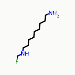 NCCCCCCCCCNCF